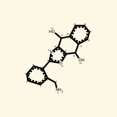 NCc1ccccc1-c1nc2c(o1)C(O)c1ccccc1C2O